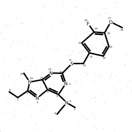 CCc1nc2c(N(C)C)nc(SCc3ccc(OC)c(F)c3)nc2n1C